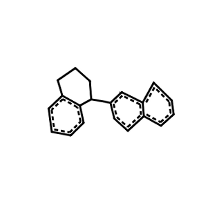 [c]1c(C2CCCc3ccccc32)ccc2ccccc12